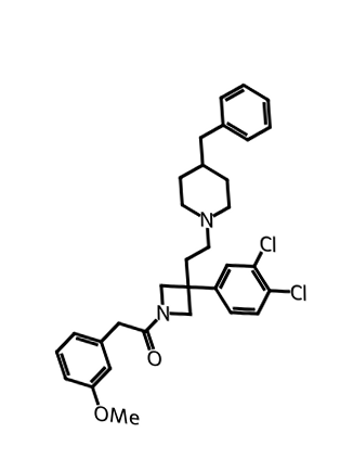 COc1cccc(CC(=O)N2CC(CCN3CCC(Cc4ccccc4)CC3)(c3ccc(Cl)c(Cl)c3)C2)c1